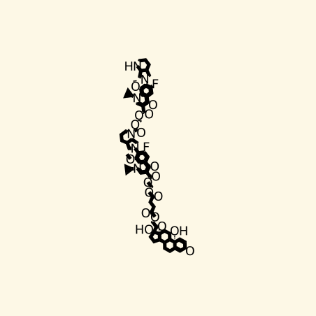 COc1c(N2CC3CCCNC3C2)c(F)cc2c(=O)c(C(=O)OCOC(=O)N3CCCC4CN(c5c(F)cc6c(=O)c(C(=O)OCOC(=O)CCC(=O)OCC(=O)[C@@]7(O)CCC8C9CCC%10=CC(=O)C=C[C@]%10(C)C9[C@@H](O)C[C@@]87C)cn(C7CC7)c6c5OC)CC43)cn(C3CC3)c12